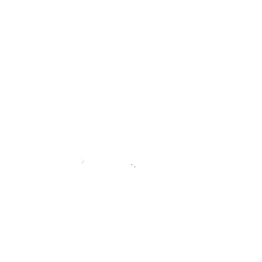 C=C(O)CC1CCCN1c1ccc(Oc2cccc(C)c2C)cc1